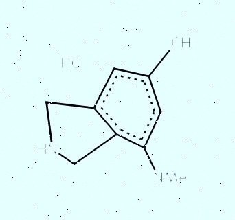 CNc1cc(C)cc2c1CNC2.Cl